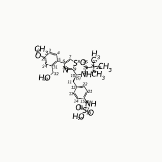 COc1ccc(-c2csc([C@H](Cc3ccc(NS(=O)(=O)O)cc3)NC(=O)C(C)(C)C)n2)c(CO)c1